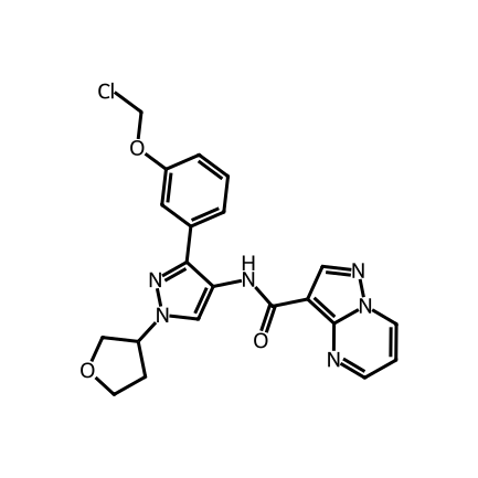 O=C(Nc1cn(C2CCOC2)nc1-c1cccc(OCCl)c1)c1cnn2cccnc12